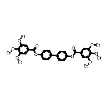 CCOc1cc(C(=O)Oc2ccc(-c3ccc(OC(=O)c4cc(OCC)c(OCC)c(OCC)c4)cc3)cc2)cc(OCC)c1OCC